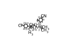 CC1(C)C[C@H]([C@]2(CCc3ccc(C#N)cn3)CCN(C(C)(C)c3ccc(Cl)cc3)C2)O1